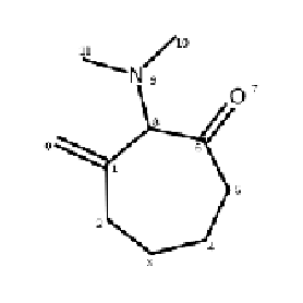 C=C1CCCCC(=O)C1N(C)C